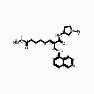 CCN1CCC(NC(=O)/C(=C/CCCCC(=O)NO)COc2cccc3ccccc23)C1